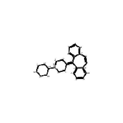 C1=Cc2ccccc2C(=C2CCN(C3CCCCC3)CC2)c2ccccc21